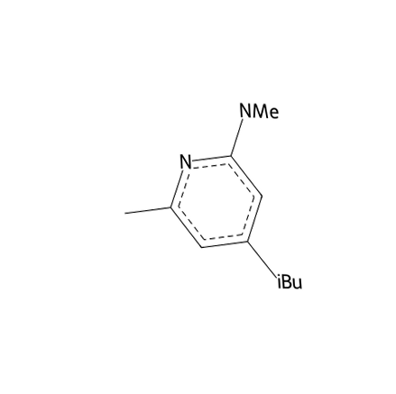 CCC(C)c1cc(C)nc(NC)c1